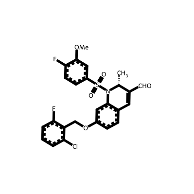 COc1cc(S(=O)(=O)N2c3cc(OCc4c(F)cccc4Cl)ccc3C=C(C=O)[C@H]2C)ccc1F